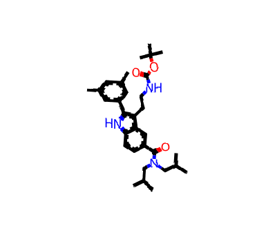 Cc1cc(C)cc(-c2[nH]c3ccc(C(=O)N(CC(C)C)CC(C)C)cc3c2CCNC(=O)OC(C)(C)C)c1